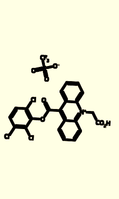 O=C(O)C[n+]1c2ccccc2c(C(=O)Oc2c(Cl)ccc(Cl)c2Cl)c2ccccc21.O=S(=O)([O-])C(F)(F)F